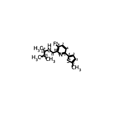 Cc1ccc(-c2ccc(F)c(CN[C@H](C)C(C)C)n2)s1